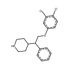 Clc1ccc(OCC(c2ccccc2)C2CCNCC2)cc1Cl